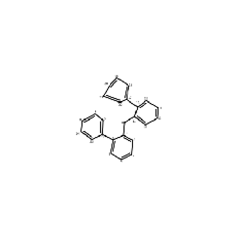 c1ccc(-c2ccccc2Cc2ccccc2-c2ccccc2)cc1